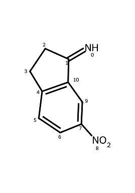 N=C1CCc2ccc([N+](=O)[O-])cc21